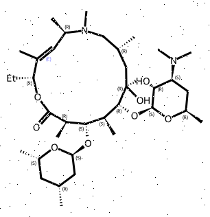 CC[C@H]1OC(=O)[C@H](C)[C@@H](O[C@H]2C[C@H](C)C[C@H](C)O2)[C@H](C)[C@@H](O[C@@H]2O[C@H](C)C[C@H](N(C)C)[C@H]2O)[C@](C)(O)C[C@@H](C)CN(C)[C@H](C)/C=C/1C